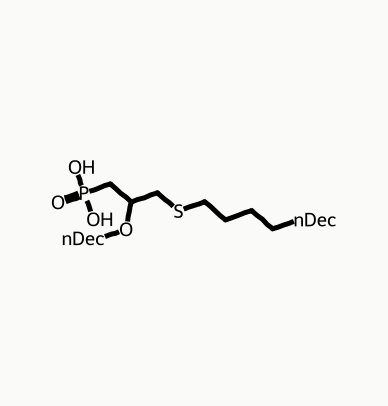 CCCCCCCCCCCCCCSCC(CP(=O)(O)O)OCCCCCCCCCC